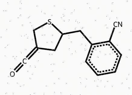 N#Cc1ccccc1CC1CC(=C=O)CS1